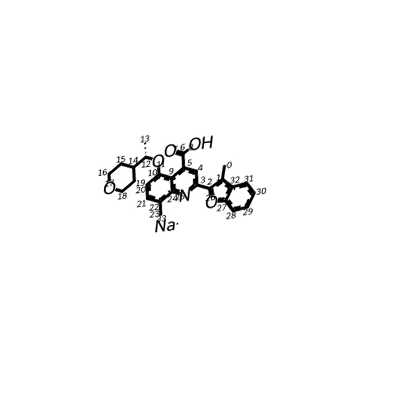 Cc1c(-c2cc(C(=O)O)c3c(O[C@@H](C)C4CCOCC4)ccc(C)c3n2)oc2ccccc12.[Na]